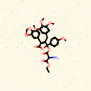 CCOC(=O)C(N)C(=O)OC1(c2ccc(OC)cc2)OC(=O)C(c2ccc3c(c2)OCO3)=C1Cc1cc(OC)c(OC)c(OC)c1